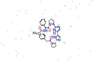 COC(=O)N[C@@H](C(=O)N1CCC[C@H]1c1ncc(-c2cnc([C@@H]3CCCN3C(=O)Cc3ccccc3)[nH]2)[nH]1)c1ccccc1